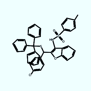 Cc1ccc(S(=O)(=O)Nc2c(C(SC(c3ccccc3)(c3ccccc3)c3ccccc3)c3ccc(Cl)cc3)oc3ccccc23)cc1